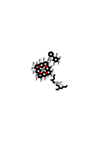 CCCCC(CC)CC[NH2+]CC(C)CCC.Fc1ccc2c([B-](c3c(F)c(F)c(F)c4c(F)c(F)ccc34)(c3c(F)c(F)c(F)c4c(F)c(F)ccc34)c3c(F)c(F)c(F)c4c(F)c(F)ccc34)c(F)c(F)c(F)c2c1F.Fc1ccccc1-c1c(F)c(F)c(F)c(F)c1F